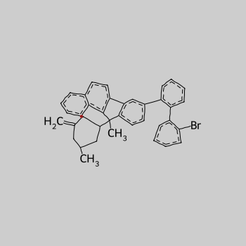 C=C1CC(C)CC(C2(C)c3ccc(-c4ccccc4-c4ccccc4Br)cc3-c3ccc4ccccc4c32)C1